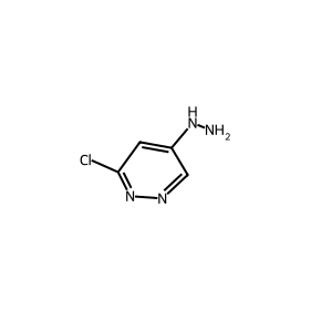 NNc1cnnc(Cl)c1